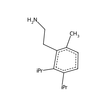 Cc1ccc(C(C)C)c(C(C)C)c1CCN